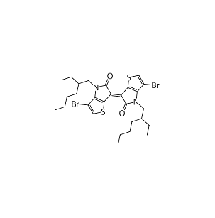 CCCCC(CC)CN1C(=O)/C(=C2/C(=O)N(CC(CC)CCCC)c3c(Br)csc32)c2scc(Br)c21